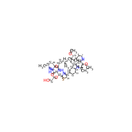 CCn1c(-c2cccnc2[C@H](C)OC)c(CC(C)(C)COC)c2cc(-c3csc([C@@H](OCCO)[C@H](NC(=O)[C@H]4C[C@@H]4C)C(=O)N4CCC[C@@H](C)N4)n3)ccc21